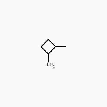 BC1CCC1C